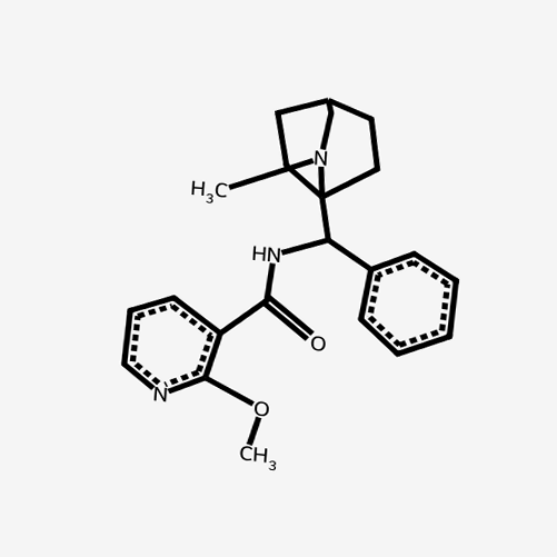 COc1ncccc1C(=O)NC(c1ccccc1)C12CCC(CC1)CN2C